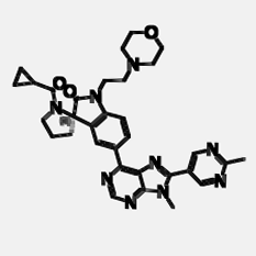 Cc1ncc(-c2nc3c(-c4ccc5c(c4)[C@]4(CCCN4C(=O)C4CC4)C(=O)N5CCN4CCOCC4)ncnc3n2C)cn1